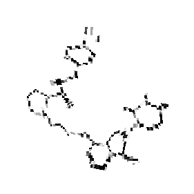 O=C1CCC(N2Cc3c(OCCCN4CCC[C@H]4C(=O)NCc4ccc(C(F)(F)F)cc4)cccc3C2=O)C(=O)N1